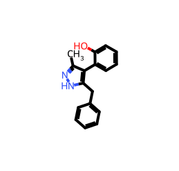 Cc1n[nH]c(Cc2ccccc2)c1-c1ccccc1O